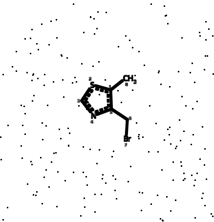 Cc1scnc1CBr